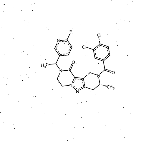 CC(c1ccc(F)nc1)N1CCn2nc3c(c2C1=O)CN(C(=O)c1ccc(Cl)c(Cl)c1)[C@H](C)C3